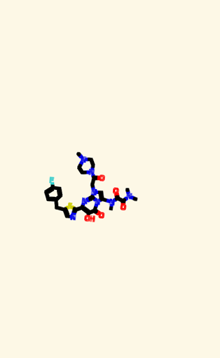 CN1CCN(C(=O)Cn2cc(N(C)C(=O)C(=O)N(C)C)n3c(=O)c(O)c(-c4ncc(Cc5ccc(F)cc5)s4)nc23)CC1